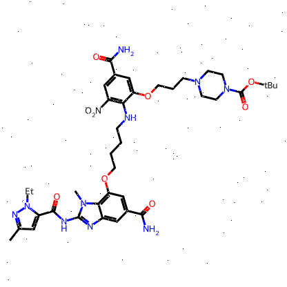 CCn1nc(C)cc1C(=O)Nc1nc2cc(C(N)=O)cc(OCCCCNc3c(OCCCN4CCN(C(=O)OC(C)(C)C)CC4)cc(C(N)=O)cc3[N+](=O)[O-])c2n1C